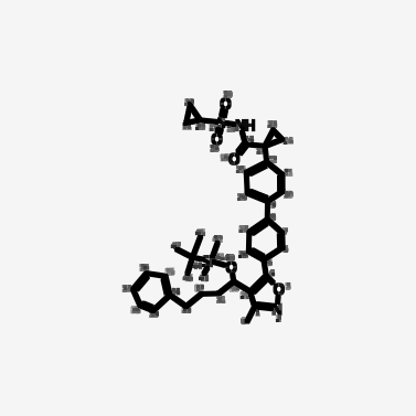 Cc1noc(-c2ccc(-c3ccc(C4(C(=O)NS(=O)(=O)C5CC5)CC4)cc3)cc2)c1C(CCCc1ccccc1)O[Si](C)(C)C(C)(C)C